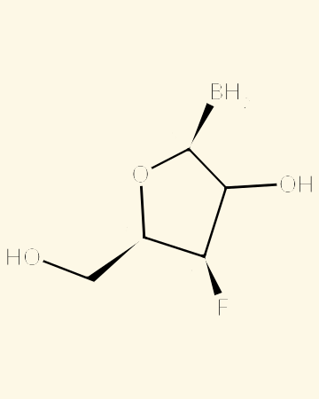 B[C@@H]1O[C@H](CO)[C@H](F)C1O